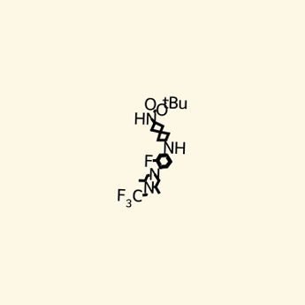 CC1CN(c2ccc(NC3CC4(CC(NC(=O)OC(C)(C)C)C4)C3)cc2F)CC(C)N1CC(F)(F)F